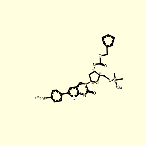 CCCCCc1ccc(-c2cc3cn([C@H]4C[C@H](OC(=O)OCc5ccccc5)[C@@H](CO[Si](C)(C)C(C)(C)C)O4)c(=O)nc3o2)cc1